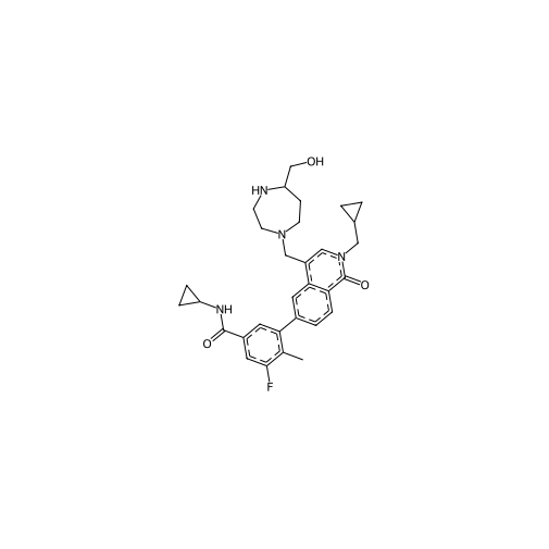 Cc1c(F)cc(C(=O)NC2CC2)cc1-c1ccc2c(=O)n(CC3CC3)cc(CN3CCNC(CO)CC3)c2c1